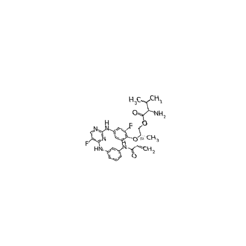 C=CC(=O)Nc1cccc(Nc2nc(Nc3ccc(O[C@@H](C)COC(=O)C(N)C(C)C)c(F)c3)ncc2F)c1